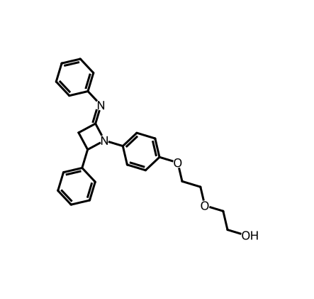 OCCOCCOc1ccc(N2C(=Nc3ccccc3)CC2c2ccccc2)cc1